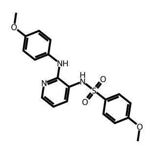 COc1ccc(Nc2ncccc2NS(=O)(=O)c2ccc(OC)cc2)cc1